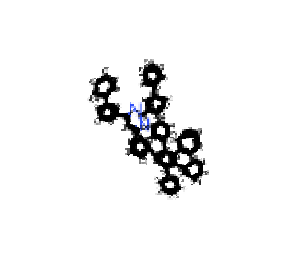 c1ccc(-c2cccc(-c3cc(-c4cccc(-c5cc(-c6ccccc6)c(-c6ccccc6)c(-c6ccccc6)c5-c5ccccc5)c4)nc(-c4cccc(-c5ccccc5)c4)n3)c2)cc1